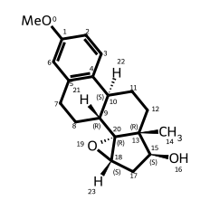 COc1ccc2c(c1)CC[C@@H]1[C@@H]2CC[C@]2(C)[C@@H](O)C[C@@H]3O[C@]312